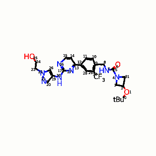 CC(C)(C)OC1CN(C(=O)NCc2ccc(-c3ccnc(Nc4cnn(CCO)c4)n3)cc2C(F)(F)F)C1